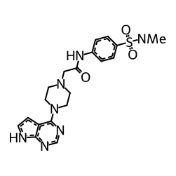 CNS(=O)(=O)c1ccc(NC(=O)CN2CCN(c3ncnc4[nH]ccc34)CC2)cc1